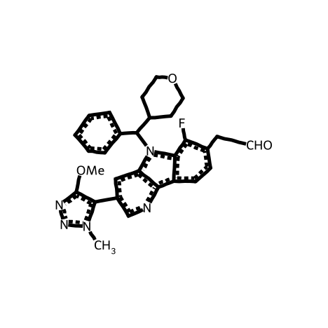 COc1nnn(C)c1-c1cnc2c3ccc(CC=O)c(F)c3n(C(c3ccccc3)C3CCOCC3)c2c1